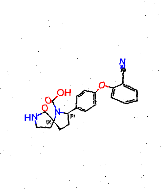 N#Cc1ccccc1Oc1ccc([C@H]2CC[C@]3(CCNC3=O)N2C(=O)O)cc1